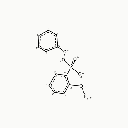 O=P(O)(OOc1ccccc1)c1ccccc1OP